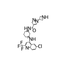 O=C(N[C@@H]1CCC[C@H](Nc2cc(C(F)(F)F)nc3ccc(Cl)cc23)C1)c1cnn(C2CNC2)c1